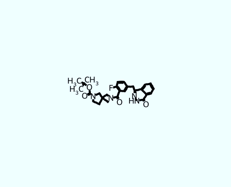 CC(C)(C)OC(=O)N1CCC2(C1)CN(C(=O)c1cc(Cc3n[nH]c(=O)c4ccccc34)ccc1F)C2